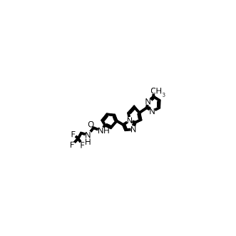 Cc1ccnc(-c2ccn3c(-c4cccc(NC(=O)NCC(F)(F)F)c4)cnc3c2)n1